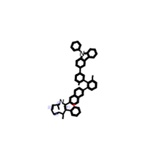 CC1=N\C(c2ccc3cc(-c4cccc(C)c4-c4cc(-c5ccc6c(c5)c5ccccc5n6-c5ccccc5)ccc4C)ccc3c2)=C(\c2ccccc2)C(C)/C=C/C=C\1